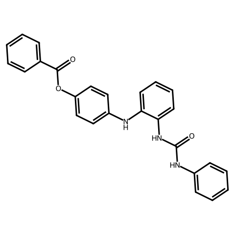 O=C(Nc1ccccc1)Nc1ccccc1Nc1ccc(OC(=O)c2ccccc2)cc1